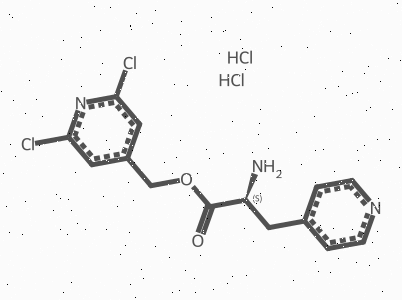 Cl.Cl.N[C@@H](Cc1ccncc1)C(=O)OCc1cc(Cl)nc(Cl)c1